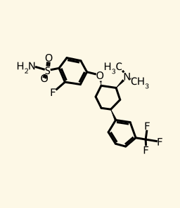 CN(C)[C@H]1C[C@@H](c2cccc(C(F)(F)F)c2)CC[C@@H]1Oc1ccc(S(N)(=O)=O)c(F)c1